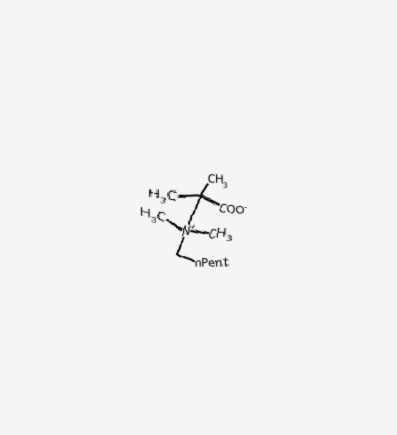 CCCCCC[N+](C)(C)C(C)(C)C(=O)[O-]